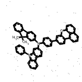 CC1(C)c2ccccc2-c2ccc(N(c3ccc(-c4ccc5c(c4)Oc4cccc6cccc-5c46)cc3)c3ccc4c5ccccc5n(-c5ccccc5)c4c3)cc21